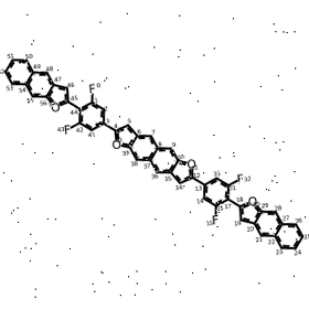 Fc1cc(-c2cc3cc4cc5oc(-c6cc(F)c(-c7cc8cc9ccccc9cc8o7)c(F)c6)cc5cc4cc3o2)cc(F)c1-c1cc2cc3ccccc3cc2o1